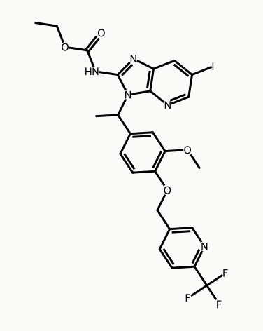 CCOC(=O)Nc1nc2cc(I)cnc2n1C(C)c1ccc(OCc2ccc(C(F)(F)F)nc2)c(OC)c1